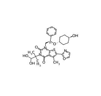 Cc1c(-c2ncco2)sc2c1c(=O)n(C(C)(C)C(O)O)c(=O)n2C[C@H](O[C@H]1CC[C@H](O)CC1)c1ccccc1